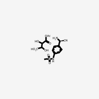 CC(=O)OC(=O)C(O)C(O)C(=O)O.CS(=O)(=O)Nc1ccc([C@@H](N)C#N)cc1